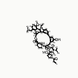 C=CC(=O)N1CC[C@](O)(C(=O)N(C)[C@H](C(=O)N[C@H]2Cc3cc(O)cc(c3)-c3ccc4c(c3)c(c(-c3cc(CN(C)C)cnc3OC)n4CC)CC(C)(C)COC(=O)[C@@H]3CCCN(N3)C2=O)C(C)C)C1